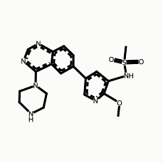 COc1ncc(-c2ccc3ncnc(N4CCNCC4)c3c2)cc1NS(C)(=O)=O